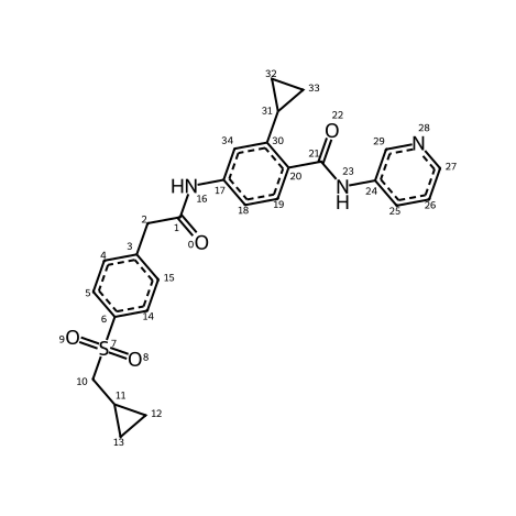 O=C(Cc1ccc(S(=O)(=O)CC2CC2)cc1)Nc1ccc(C(=O)Nc2cccnc2)c(C2CC2)c1